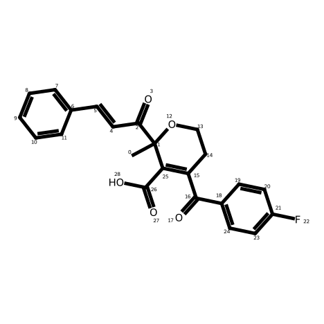 CC1(C(=O)C=Cc2ccccc2)OCCC(C(=O)c2ccc(F)cc2)=C1C(=O)O